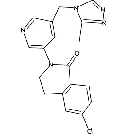 Cc1nncn1Cc1cncc(N2CCc3cc(Cl)ccc3C2=O)c1